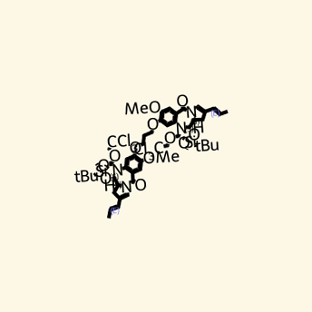 C/C=C/C1=CN2C(=O)c3cc(OC)c(OCCCOc4cc5c(cc4OC)C(=O)N4C=C(/C=C/C)C[C@H]4[C@H](O[Si](C)(C)C(C)(C)C)N5C(=O)OCC(Cl)(Cl)Cl)cc3N(C(=O)OCC(Cl)(Cl)Cl)[C@@H](O[Si](C)(C)C(C)(C)C)[C@@H]2C1